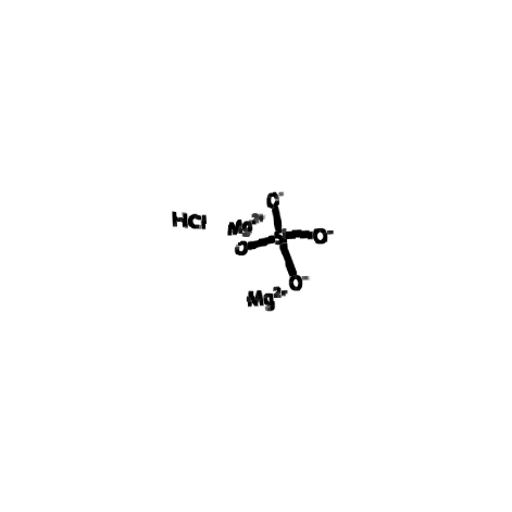 Cl.[Mg+2].[Mg+2].[O-][Si]([O-])([O-])[O-]